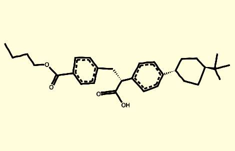 CCCCOC(=O)c1ccc(C[C@@H](C(=O)O)c2ccc([C@H]3CC[C@H](C(C)(C)C)CC3)cc2)cc1